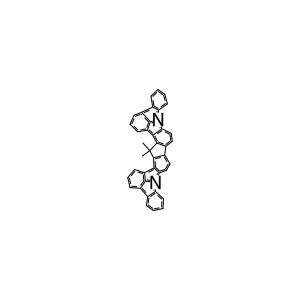 CC1(C)c2c(ccc3c2c2cccc4c5ccccc5n3c42)-c2ccc3c(c21)c1cccc2c4ccccc4n3c21